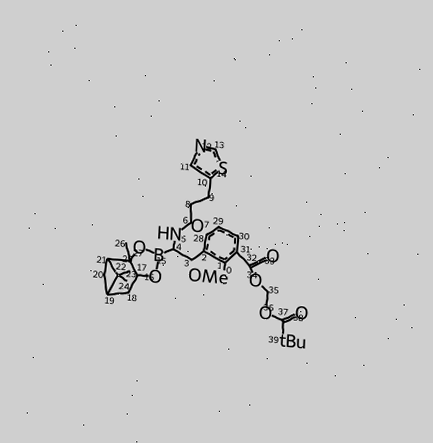 COc1c(CC(NC(=O)CCc2cncs2)B2OC3CC4CC(C4(C)C)C3(C)O2)cccc1C(=O)OCOC(=O)C(C)(C)C